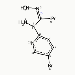 CC(C)/C(=N/N)N(N)c1ccc(Br)cn1